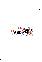 Br.CC(C)(CO)Oc1ccc2c(c1)C(=N)N(CC(=O)c1cc(C(C)(C)C)c(O)c(C(C)(C)C)c1)C2